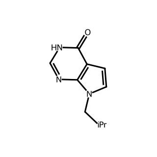 CC(C)Cn1ccc2c(=O)[nH]cnc21